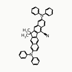 CC1(C)c2cc3cc(N(c4ccccc4)c4ccccc4)ccc3cc2-c2c1cc1cc(N(c3ccccc3)c3ccccc3)ccc1c2C#N